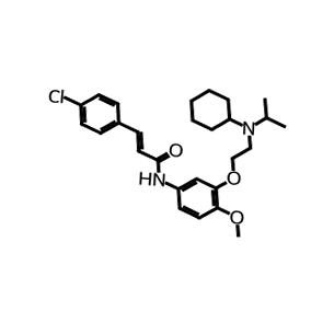 COc1ccc(NC(=O)/C=C/c2ccc(Cl)cc2)cc1OCCN(C(C)C)C1CCCCC1